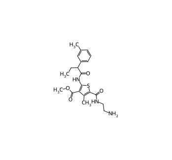 CCC(C(=O)Nc1sc(C(=O)NCCN)c(C)c1C(=O)OC)c1cccc(C)c1